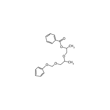 CC(COCOc1ccccc1)OCC(C)OC(=O)c1ccccc1